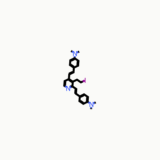 CN(C)c1ccc(C=Cc2ccnc(C=Cc3ccc(N(C)C)cc3)c2CCI)cc1